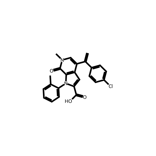 C=C(c1ccc(Cl)cc1)c1cn(C)c(=O)c2c1cc(C(=O)O)n2-c1ccccc1C